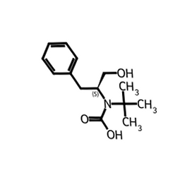 CC(C)(C)N(C(=O)O)[C@H](CO)Cc1ccccc1